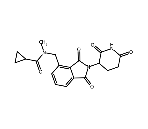 CN(Cc1cccc2c1C(=O)N(C1CCC(=O)NC1=O)C2=O)C(=O)C1CC1